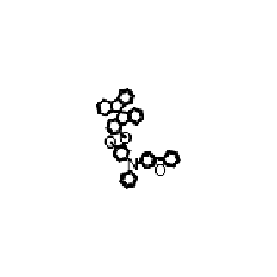 C1=CCC2C(=C1)C1(c3ccccc3-c3c1ccc1c3Oc3cc(N(c4ccccc4)c4ccc5c(c4)oc4ccccc45)ccc3O1)c1ccccc12